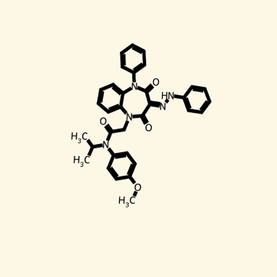 COc1ccc(N(C(=O)Cn2c(=O)/c(=N/Nc3ccccc3)c(=O)n(-c3ccccc3)c3ccccc32)C(C)C)cc1